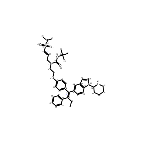 CC/C(=C(/c1ccc(OCCN(C/C=C/S(=O)(=O)N(C)C)C(=O)OC(C)(C)C)cc1)c1ccc2c(cnn2C2CCCCO2)c1)c1ccccc1